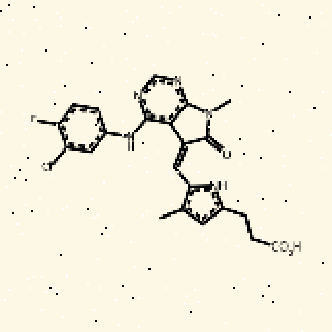 Cc1cc(CCC(=O)O)[nH]c1C=C1C(=O)N(C)c2ncnc(Nc3ccc(F)c(Cl)c3)c21